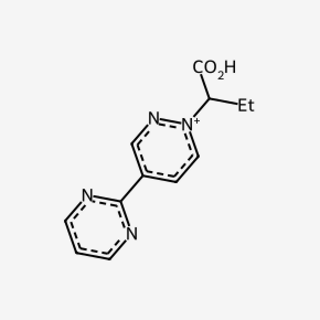 CCC(C(=O)O)[n+]1ccc(-c2ncccn2)cn1